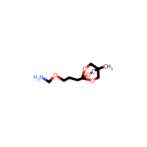 CC12COC(CCCOCN)(OC1)OC2